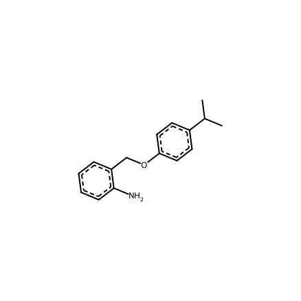 CC(C)c1ccc(OCc2ccccc2N)cc1